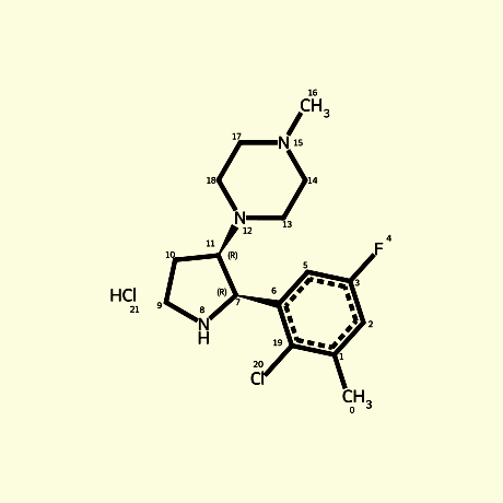 Cc1cc(F)cc([C@H]2NCC[C@H]2N2CCN(C)CC2)c1Cl.Cl